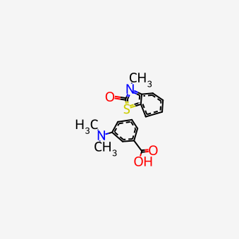 CN(C)c1cccc(C(=O)O)c1.Cn1c(=O)sc2ccccc21